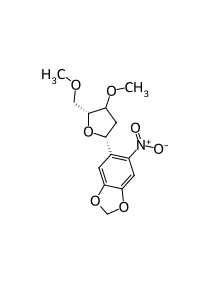 COC[C@H]1O[C@@H](c2cc3c(cc2[N+](=O)[O-])OCO3)CC1OC